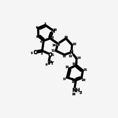 CC(C)OC(=O)c1cccnc1N1CCN(Cc2ccc(N)cc2)CC1